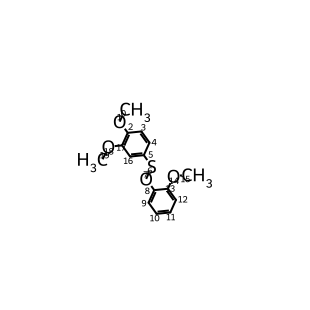 COc1ccc(SOc2ccccc2OC)cc1OC